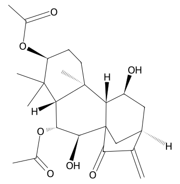 C=C1C(=O)C23C[C@H]1C[C@H](O)[C@H]2[C@]1(C)CC[C@H](OC(C)=O)C(C)(C)[C@H]1[C@@H](OC(C)=O)[C@@H]3O